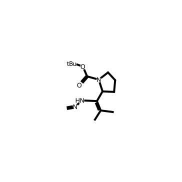 C=NNC(=C(C)C)C1CCCN1C(=O)OC(C)(C)C